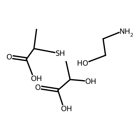 CC(O)C(=O)O.CC(S)C(=O)O.NCCO